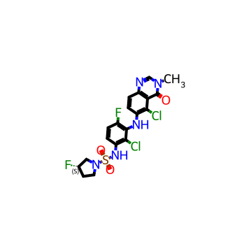 Cn1cnc2ccc(Nc3c(F)ccc(NS(=O)(=O)N4CC[C@H](F)C4)c3Cl)c(Cl)c2c1=O